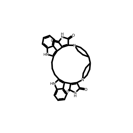 O=C1NC(=O)C2=C1c1c([nH]c3ccccc13)CCCc1[nH]c3ccccc3c1C1=C(C(=O)NC1=O)N1CCC(CC1)C1CCN2CC1